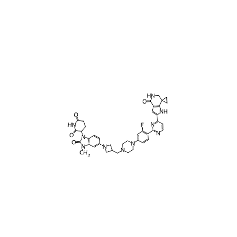 Cn1c(=O)n(C2CCC(=O)NC2=O)c2ccc(N3CC(CN4CCN(c5ccc(-c6nccc(-c7cc8c([nH]7)C7(CC7)CNC8=O)n6)c(F)c5)CC4)C3)cc21